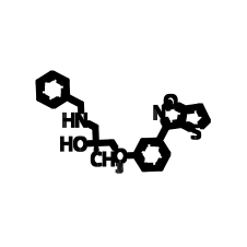 C[C@@](O)(CNCc1ccccc1)COc1cccc(-c2noc3ccsc23)c1